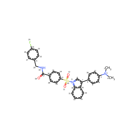 CN(C)c1ccc(-c2cn(S(=O)(=O)c3ccc(C(=O)NCc4ccc(F)cc4)cc3)c3ccccc23)cc1